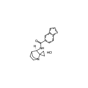 Cl.O=C(N[C@@H]1C2CCN(CC2)C12CC2)c1ccc2sccc2c1